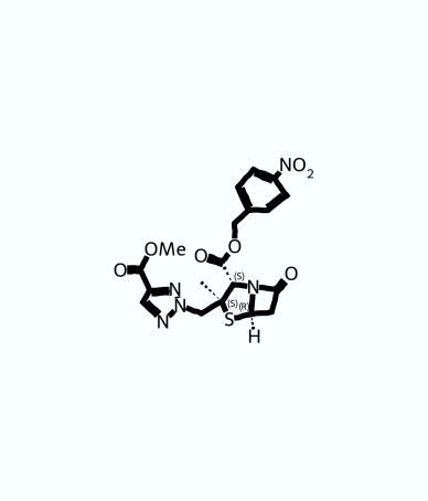 COC(=O)c1cnn(C[C@]2(C)S[C@@H]3CC(=O)N3[C@H]2C(=O)OCc2ccc([N+](=O)[O-])cc2)n1